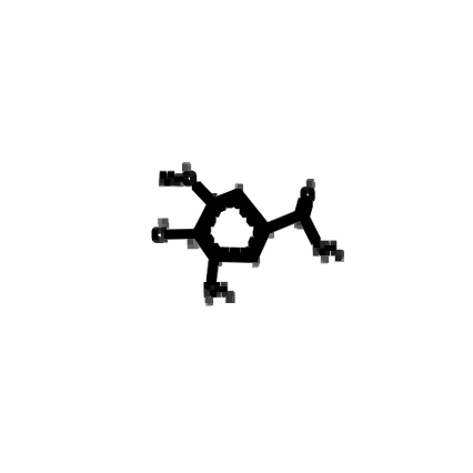 COc1cc(C(N)=O)cc(N)c1Cl